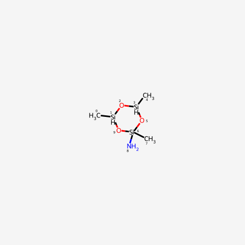 C[SiH]1O[SiH](C)O[Si](C)(N)O1